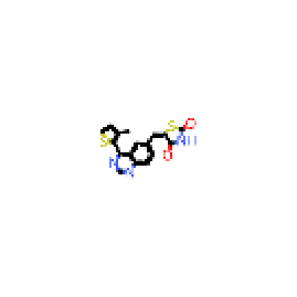 Cc1ccsc1-c1ncnc2ccc(C=C3SC(=O)NC3=O)cc12